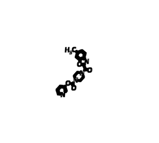 Cc1ccc2nc(C(=O)N3CCN(C(=O)Oc4cccnc4)CC3)oc2c1